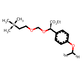 [2H]C([2H])Oc1ccc([C@@H](OCOCC[Si](C)(C)C)C(=O)OCC)cc1